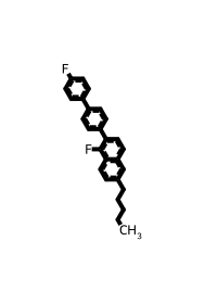 CCCCCc1ccc2c(F)c(-c3ccc(-c4ccc(F)cc4)cc3)ccc2c1